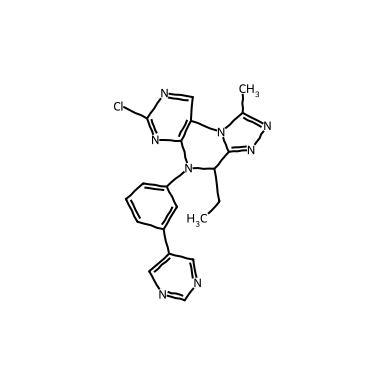 CCC1c2nnc(C)n2-c2cnc(Cl)nc2N1c1cccc(-c2cncnc2)c1